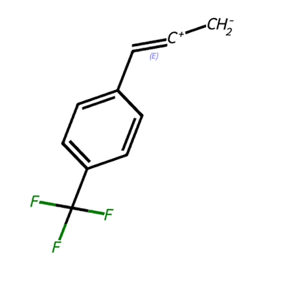 [CH2-]/[C+]=C/c1ccc(C(F)(F)F)cc1